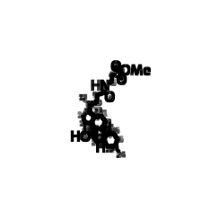 COS(=O)(=O)CCNC(=O)CC[C@@H](C)[C@H]1CC[C@H]2[C@@H]3[C@H](O)C[C@@H]4C[C@H](C)CC[C@]4(C)[C@H]3CC[C@]12C